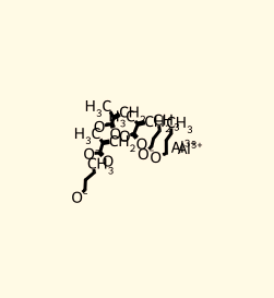 C=C(C)C(=O)[O-].C=C(C)C(=O)[O-].C=C(C)C(=O)[O-].CCCC[O-].CCCC[O-].CCCC[O-].[Al+3].[Al+3]